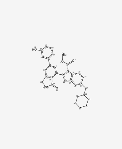 CC(C)(C)OC(=O)n1c(-c2cc(-c3cccc(O)c3)cc3c2C(=O)NC3)cc2cc(CN3CCCCC3)ccc21